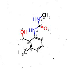 CNC(=O)Nc1cccc(C)c1CO